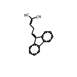 N#CC(C#N)=CCC=C1c2ccccc2-c2ccccc21